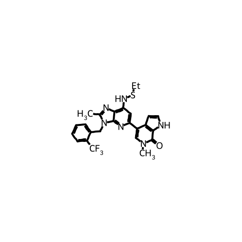 CCSNc1cc(-c2cn(C)c(=O)c3[nH]ccc23)nc2c1nc(C)n2Cc1ccccc1C(F)(F)F